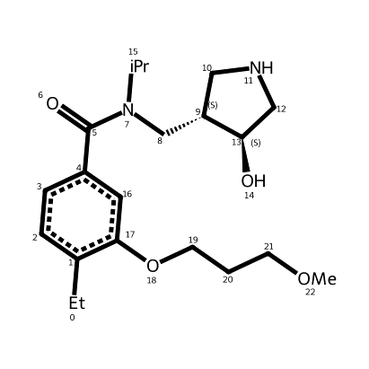 CCc1ccc(C(=O)N(C[C@@H]2CNC[C@H]2O)C(C)C)cc1OCCCOC